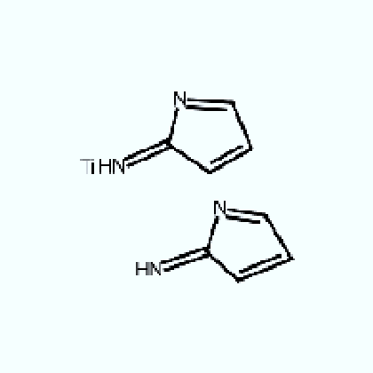 N=C1C=CC=N1.N=C1C=CC=N1.[Ti]